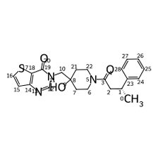 C[C@H](CC(=O)N1CCC(O)(Cn2cnc3ccsc3c2=O)CC1)c1ccccc1